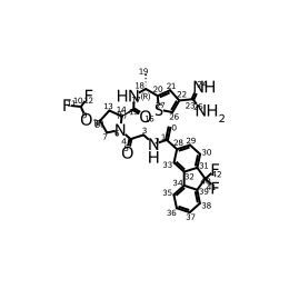 C=C(NCC(=O)N1C[C@H](OC(F)F)C[C@H]1C(=O)N[C@H](C)c1cc(C(=N)N)cs1)c1ccc2c(c1)-c1ccccc1C2(F)F